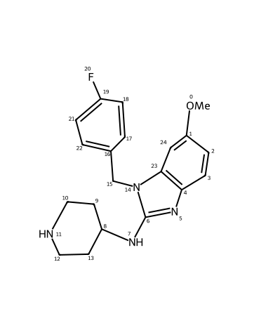 COc1ccc2nc(NC3CCNCC3)n(Cc3ccc(F)cc3)c2c1